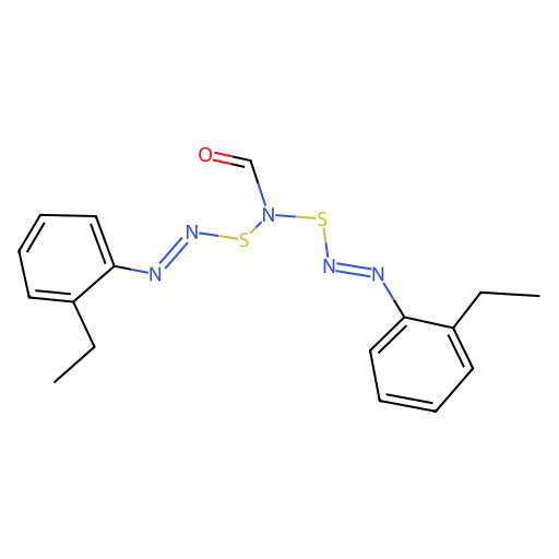 CCc1ccccc1/N=N/SN(C=O)S/N=N/c1ccccc1CC